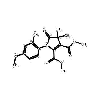 COC(=O)C1=C(C(=O)OC)C(C)(C)C(=O)N1c1ccc(OC)cc1C